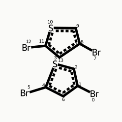 Brc1csc(Br)c1.Brc1csc(Br)c1